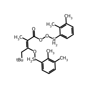 CC(C(=O)OO[SiH2]c1cccc(C)c1C)=C(CC(C)(C)C)O[SiH2]c1cccc(C)c1C